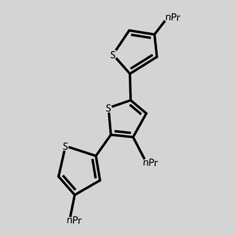 CCCc1csc(-c2cc(CCC)c(-c3cc(CCC)cs3)s2)c1